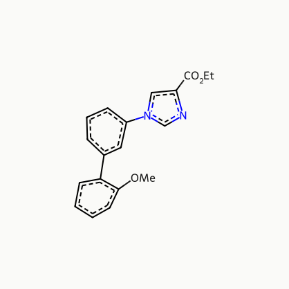 CCOC(=O)c1cn(-c2cccc(-c3ccccc3OC)c2)cn1